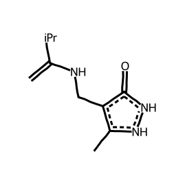 C=C(NCc1c(C)[nH][nH]c1=O)C(C)C